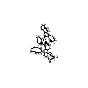 c1ccc(-n2c3ccc4c5ccccc5oc4c3c3ccc4c(c5ccccc5n4-c4cc5c6ccccc6ccc5c5ccccc45)c32)cc1